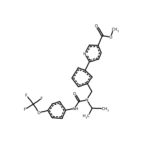 COC(=O)c1ccc(-c2cccc(CN(C(=O)Nc3ccc(OC(F)(F)F)cc3)C(C)C)c2)nc1